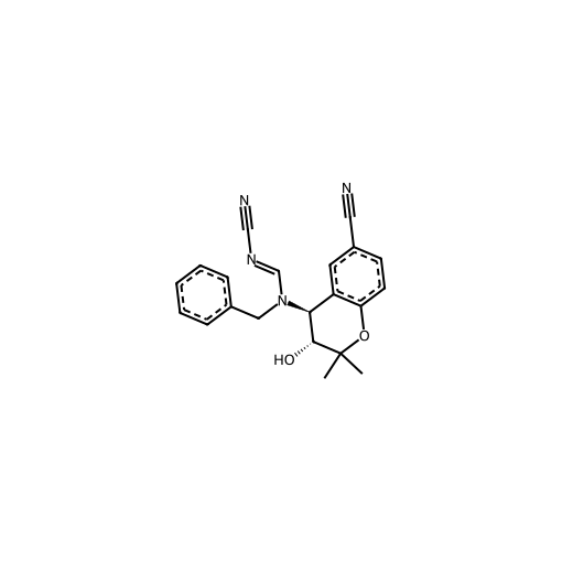 CC1(C)Oc2ccc(C#N)cc2[C@H](N(C=NC#N)Cc2ccccc2)[C@H]1O